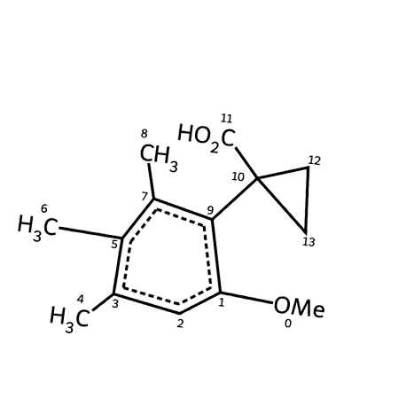 COc1cc(C)c(C)c(C)c1C1(C(=O)O)CC1